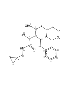 O=CN(CC1CCOCC1)C(CCc1ccccc1)C(O)C(=O)NCC1CC1